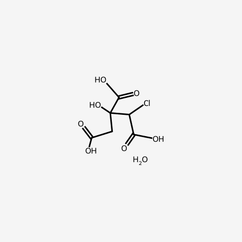 O.O=C(O)CC(O)(C(=O)O)C(Cl)C(=O)O